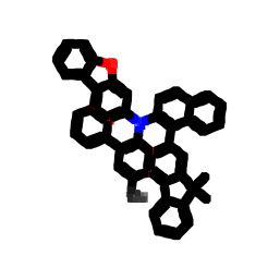 CC(C)(C)c1ccc(N(c2ccc3c(c2)oc2ccccc23)c2ccc3ccccc3c2-c2ccc3c(c2)C(C)(C)c2ccccc2-3)c(-c2ccccc2)c1